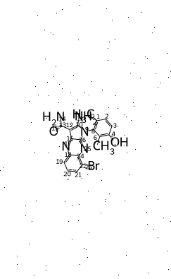 Cc1ccc(O)c(C)c1-n1c(N)c(C(N)=O)c2nc3cccc(Br)c3nc21